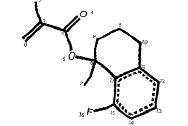 C=C(C)C(=O)OC1(C)CCCc2cccc(F)c21